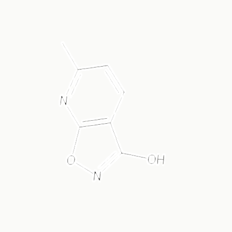 Cc1ccc2c(O)noc2n1